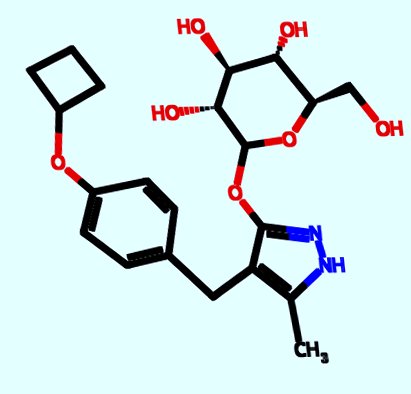 Cc1[nH]nc(OC2O[C@H](CO)[C@@H](O)[C@H](O)[C@H]2O)c1Cc1ccc(OC2CCC2)cc1